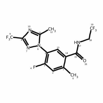 Cc1cc(F)c(-n2nc(C(F)(F)F)nc2C)cc1C(=O)NCC(F)(F)F